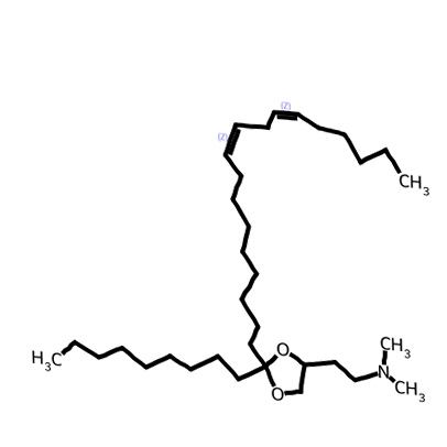 CCCCC/C=C\C/C=C\CCCCCCCCC1(CCCCCCCCC)OCC(CCN(C)C)O1